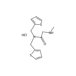 CNCC(=O)N(Cc1cccs1)Cc1cccs1.Cl